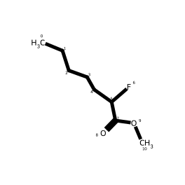 CCCCCC(F)C(=O)OC